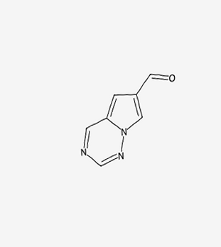 O=Cc1cc2cncnn2c1